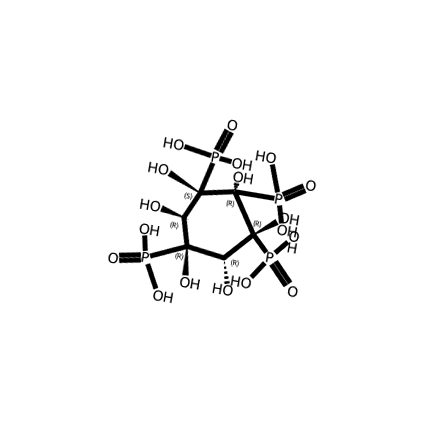 O=P(O)(O)[C@]1(O)[C@@H](O)[C@](O)(P(=O)(O)O)[C@@](O)(P(=O)(O)O)[C@](O)(P(=O)(O)O)[C@@H]1O